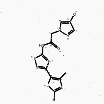 Cc1nc(C)c(-c2nsc(NC(=O)Cn3cc(Cl)cn3)n2)s1